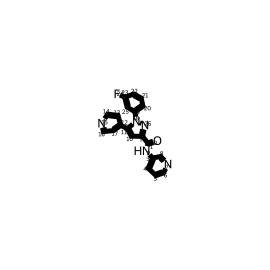 O=C(Nc1cccnc1)c1cc(-c2ccncc2)n(-c2cccc(F)c2)n1